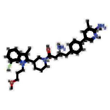 COCCCn1c(C2CCCN(C(=O)C[C@H](N)Cc3ccc(-c4cnc(N)c(C)c4)cc3)C2)c(C)c2cccc(F)c21